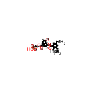 BCc1cc(CB)c(CB)c(C(=O)OC2C3CC4C(CC(=O)C42)C3C(=O)OCCS(=O)(=O)O)c1